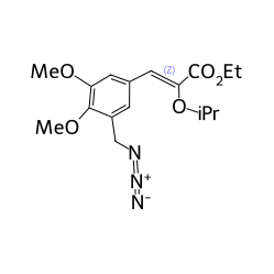 CCOC(=O)/C(=C/c1cc(CN=[N+]=[N-])c(OC)c(OC)c1)OC(C)C